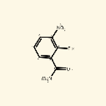 CNC(=O)c1cccc([N+](=O)[O-])c1F